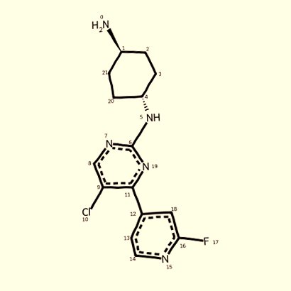 N[C@H]1CC[C@H](Nc2ncc(Cl)c(-c3ccnc(F)c3)n2)CC1